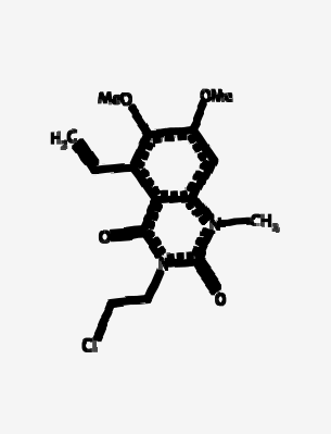 C=Cc1c(OC)c(OC)cc2c1c(=O)n(CCCl)c(=O)n2C